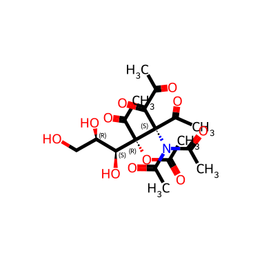 CC(=O)O[C@@](C(C)=O)([C@@H](O)[C@H](O)CO)[C@](C(C)=O)(C(=O)C(C)=O)N(C(C)=O)C(C)=O